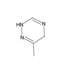 CC1=NNC=NC1